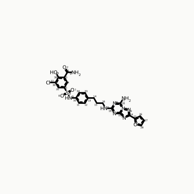 NC(=O)c1cc(S(=O)(=O)Nc2ccc(CCCNc3nc(N)n4nc(-c5ccco5)nc4n3)cc2)cc(Cl)c1O